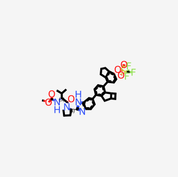 COC(=O)N[C@H](C(=O)N1CCC[C@H]1c1nc2ccc(-c3ccc(-c4ccc(OS(=O)(=O)C(F)(F)F)c5c4CCC5)c4c3CC3CCC43)cc2[nH]1)C(C)C